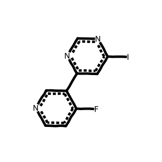 Fc1ccncc1-c1cc(I)ncn1